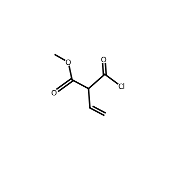 C=CC(C(=O)Cl)C(=O)OC